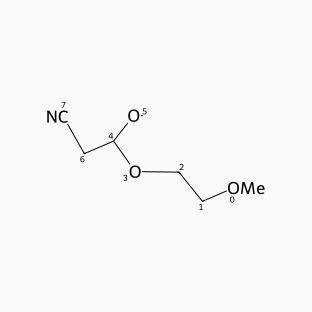 COCCOC([O])CC#N